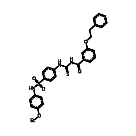 CCOc1ccc(NS(=O)(=O)c2ccc(NC(=S)NC(=O)c3cccc(OCCc4ccccc4)c3)cc2)cc1